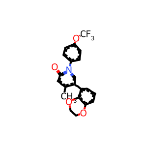 Cc1cc(=O)n(-c2ccc(OC(F)(F)F)cc2)cc1-c1cccc2c1OCCO2